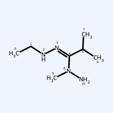 CCN/N=C(/C(C)C)N(C)N